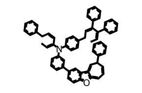 C/C=C(\C(=C/Cc1ccc(N(C(/C=C\Cc2ccccc2)=C/C)c2cccc(-c3ccc4oc5c(c4c3)=CC(c3ccccc3)C=CC=5)c2)cc1)c1ccccc1)c1ccccc1